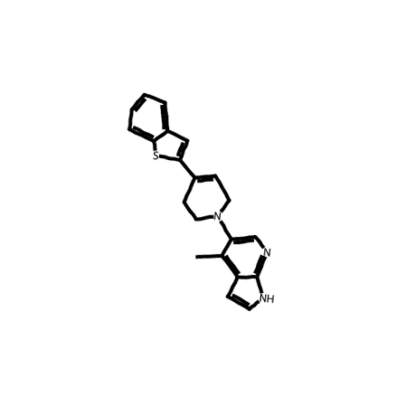 Cc1c(N2CC=C(c3cc4ccccc4s3)CC2)cnc2[nH]ccc12